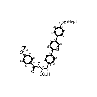 CCCCCCCOc1ccc(-c2cnc(-c3ccc(C[C@H](NC(=O)c4ccc(OC(F)(F)F)cc4)C(=O)O)cc3)nc2)cc1